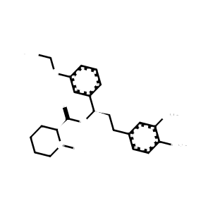 COc1ccc(CC[C@@H](OC(=O)[C@@H]2CCCCN2C)c2cccc(OCC(=O)O)c2)cc1OC